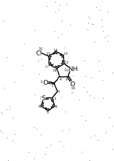 O=C(Cc1cccs1)C1C(=O)Nc2ccc(Cl)cc21